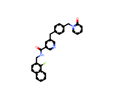 O=C(NCc1ccc2ccccc2c1F)c1cncc(Cc2ccc(Cn3ccccc3=O)cc2)c1